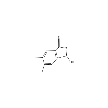 Cc1cc2c(cc1C)C(O)OC2=O